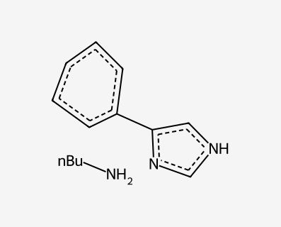 CCCCN.c1ccc(-c2c[nH]cn2)cc1